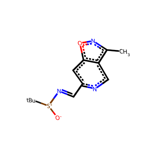 Cc1noc2cc(C=N[S+]([O-])C(C)(C)C)ncc12